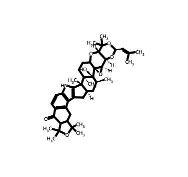 CC(C)=C[C@H]1O[C@H]2[C@H]3O[C@@]34C(CC[C@@]3(C)[C@@]4(O)[C@@H](C)C[C@H]4Cc5c([nH]c6ccc7c(c56)CC5C(C7=O)C(C)(C)OC5(C)C)[C@@]43C)O[C@@H]2C(C)(C)O1